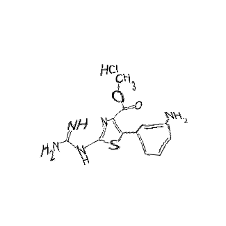 COC(=O)c1nc(NC(=N)N)sc1-c1cccc(N)c1.Cl